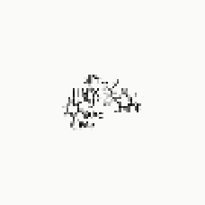 COc1ccnc(C(=O)N[C@H](C(=O)O[C@@H](C)[C@@H](C)c2ccc(F)cc2)C(C)C)c1OC(C)=O